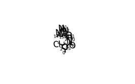 Cc1cc(Cl)cc(C(=O)N2CCO[C@H](c3cc(C)nc4ncnn34)C2)c1